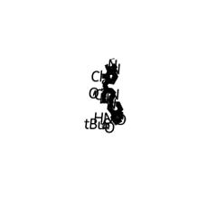 CN1C(=C=O)C(Sc2ccc3nn(C)cc3c2Cl)=CN=C1N1CCC2(CC1)COC[C@H]2N[S@+]([O-])C(C)(C)C